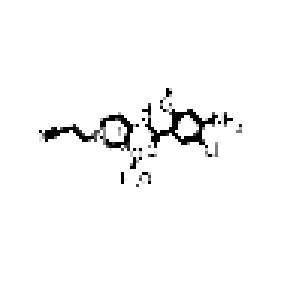 COc1cc(N)c(Cl)cc1C(=O)N[C@H]1CCN(CCC#N)C[C@H]1OC.O